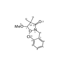 COC1ON(Cc2ccccc2Cl)C(=O)C1(C)C